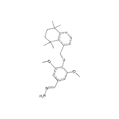 COc1cc(C=NN)cc(OC)c1OCc1cccc2c1C(C)(C)CCC2(C)C